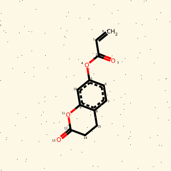 C=CC(=O)Oc1ccc2c(c1)OC(=O)CC2